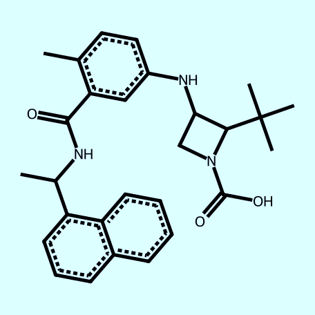 Cc1ccc(NC2CN(C(=O)O)C2C(C)(C)C)cc1C(=O)NC(C)c1cccc2ccccc12